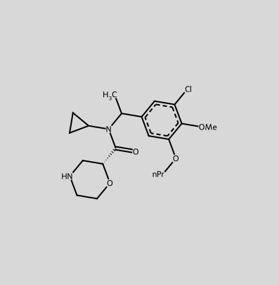 CCCOc1cc(C(C)N(C(=O)[C@H]2CNCCO2)C2CC2)cc(Cl)c1OC